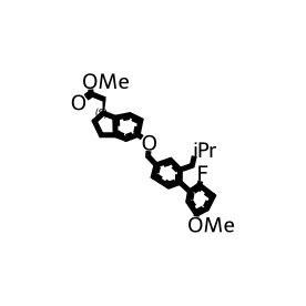 COC(=O)C[C@@H]1CCc2cc(OCc3ccc(-c4cc(OC)ccc4F)c(CC(C)C)c3)ccc21